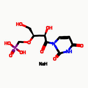 O=C([C@H](O)[C@H](CO)OCP(=O)(O)O)n1ccc(=O)[nH]c1=O.[NaH]